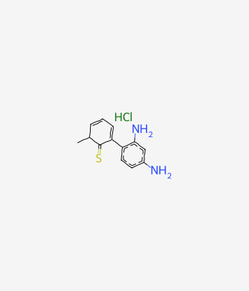 CC1C=CC=C(c2ccc(N)cc2N)C1=S.Cl